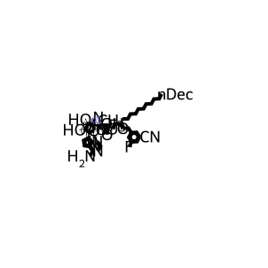 CCCCCCCCCCCCCCCCCCCC[C@@H](COP(=O)(O)OC[C@@]1(/C=N\C)O[C@@H](c2ccc3c(N)ncnn23)[C@H](O)[C@@H]1O)OCc1cc(F)cc(C#N)c1